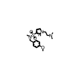 COc1ccc(CN(C)S(=O)(=O)c2ccn(CCN(C)C)n2)cc1